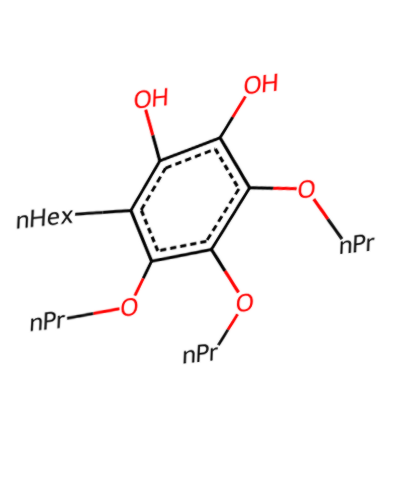 CCCCCCc1c(O)c(O)c(OCCC)c(OCCC)c1OCCC